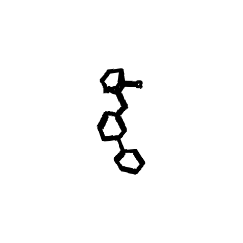 O=C1/C(=C/c2cccc(-c3ccccc3)c2)N2CCC1CC2